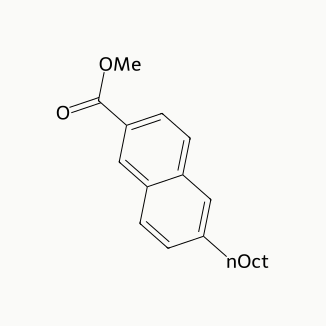 CCCCCCCCc1ccc2cc(C(=O)OC)ccc2c1